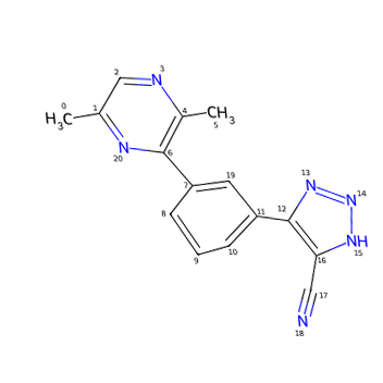 Cc1cnc(C)c(-c2cccc(-c3nn[nH]c3C#N)c2)n1